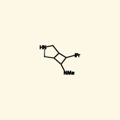 CNC1C2CNCC2C1C(C)C